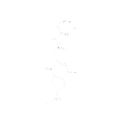 CCNc1cc2c(C)nn(CC(=O)Nc3ncccn3)c(=O)c2s1